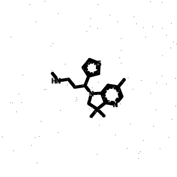 CNCCC(c1ccsc1)N1CC(C)(C)c2ncc(C)cc21